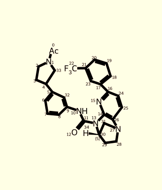 CC(=O)N1CCC(c2cccc(NC(=O)N3c4nc(-c5cccc(C(F)(F)F)c5)ccc4N4CC[C@H]3C4)c2)C1